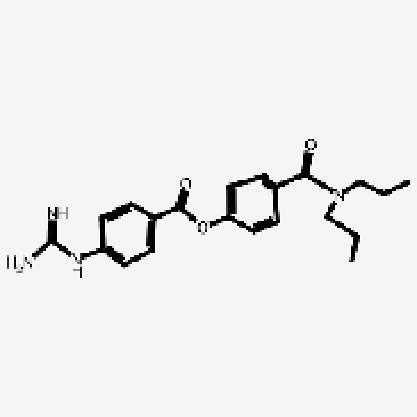 CCCN(CCC)C(=O)c1ccc(OC(=O)c2ccc(NC(=N)N)cc2)cc1